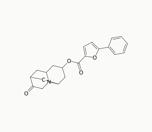 O=C(OC1CC2CC3CC(C1)N2CC3=O)c1ccc(-c2ccccc2)o1